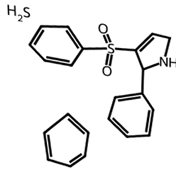 O=S(=O)(C1=CCNC1c1ccccc1)c1ccccc1.S.c1ccccc1